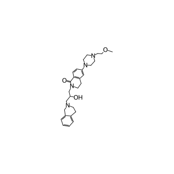 COCCN1CCN(c2ccc3c(c2)CCN(CC(O)CN2CCc4ccccc4C2)C3=O)CC1